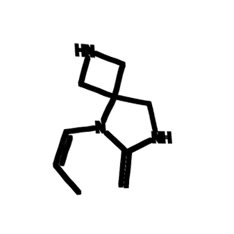 C=C1NCC2(CNC2)N1/C=C\C